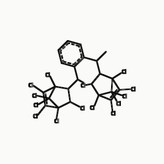 CC(c1ccccc1C(C)C1C(Cl)C2(Cl)C(Cl)=C(Cl)C1(Cl)C2(Cl)Cl)C1C(Cl)C2(Cl)C(Cl)=C(Cl)C1(Cl)C2(Cl)Cl